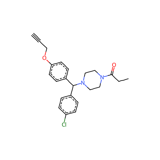 C#CCOc1ccc(C(c2ccc(Cl)cc2)N2CCN(C(=O)CC)CC2)cc1